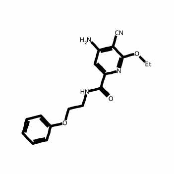 CCOc1nc(C(=O)NCCOc2ccccc2)cc(N)c1C#N